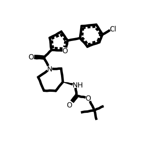 CC(C)(C)OC(=O)N[C@H]1CCCN(C(=O)c2ccc(-c3ccc(Cl)cc3)o2)C1